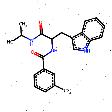 CC(C#N)NC(=O)C(Cc1c[nH]c2ccccc12)NC(=O)c1cccc(C(F)(F)F)c1